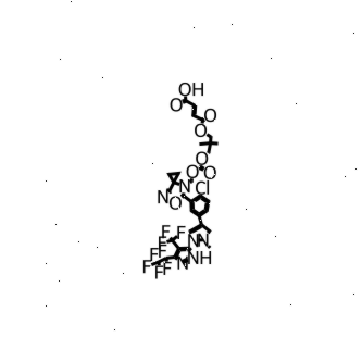 CN1CC(c2ccc(Cl)c(C(=O)N(COC(=O)OCC(C)(C)COC(=O)/C=C/C(=O)O)C3(C#N)CC3)c2)=CN1c1[nH]nc(C(F)(F)C(F)(F)F)c1C(F)(F)F